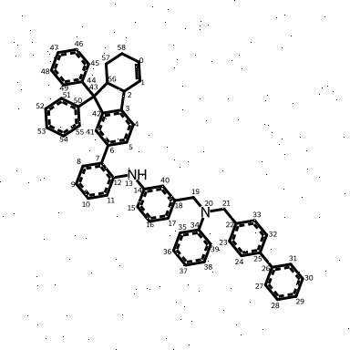 C1=CC2c3ccc(-c4ccccc4Nc4cccc(CN(Cc5ccc(-c6ccccc6)cc5)c5ccccc5)c4)cc3C(c3ccccc3)(c3ccccc3)C2CC1